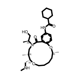 CNC[C@H]1OCCCC[C@@H](C)Oc2ccc(NC(=O)C3CCCCC3)cc2C(=O)N([C@@H](C)CO)C[C@H]1C